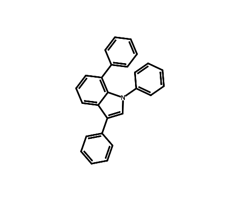 c1ccc(-c2cn(-c3ccccc3)c3c(-c4ccccc4)cccc23)cc1